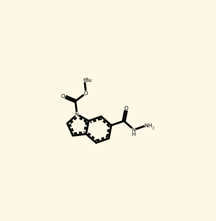 CC(C)(C)OC(=O)n1ccc2ccc(C(=O)NN)cc21